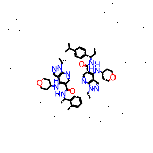 CCC(NC(=O)c1cnc2c(cnn2CC)c1NC1CCOCC1)c1ccc(C(C)C)cc1.CCn1ncc2c(NC3CCOCC3)c(C(=O)NC(C)c3ccccc3C)cnc21